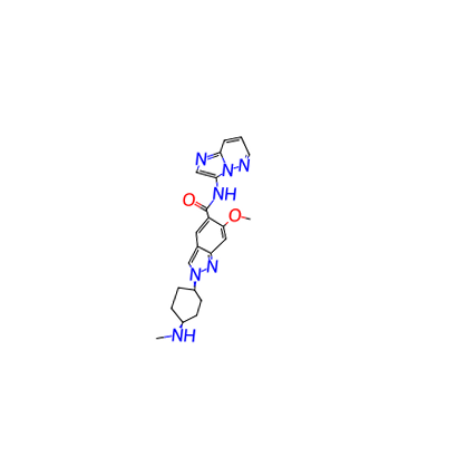 CN[C@H]1CC[C@@H](n2cc3cc(C(=O)Nc4cnc5cccnn45)c(OC)cc3n2)CC1